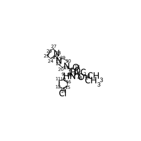 CC(C)(C)OC(=O)N[C@H](Cc1ccc(Cl)cc1)C(=O)N1CCN(c2ccccn2)CC1